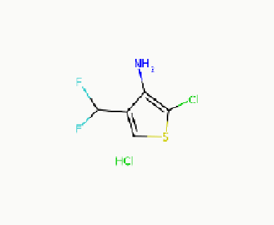 Cl.Nc1c(C(F)F)csc1Cl